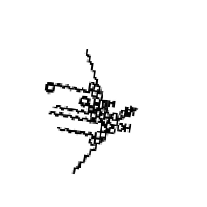 CCCCCCCCCCC[C@H](CC(=O)NC1C(OC[C@H](NC(=O)C[C@@H](CCCCCCCCCCC)OC(=O)CCCCCCCCc2ccccc2)C(=O)OCc2ccccc2)OC(CO[Si](C)(C)C(C)(C)C)C(O)C1OC(=O)C[C@@H](CCCCCCCCCCC)OC(=O)CCCCCCCCC)OC(=O)CCCCCCCCC